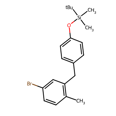 Cc1ccc(Br)cc1Cc1ccc(O[Si](C)(C)C(C)(C)C)cc1